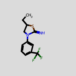 CCC1CN(c2cccc(C(F)(F)F)c2)C(=N)S1